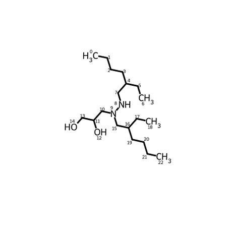 CCCCC(CC)CNN(CC(O)CO)CC(CC)CCCC